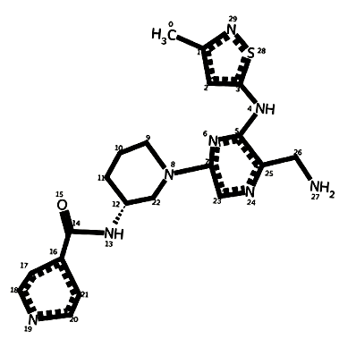 Cc1cc(Nc2nc(N3CCC[C@@H](NC(=O)c4ccncc4)C3)cnc2CN)sn1